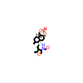 C=C1OCC(NC=O)/C1=C\C[C@@H]1C(=C)CC[C@H]2[C@@]1(C)CC[C@@]1(C)OS(=O)OC[C@@]21C